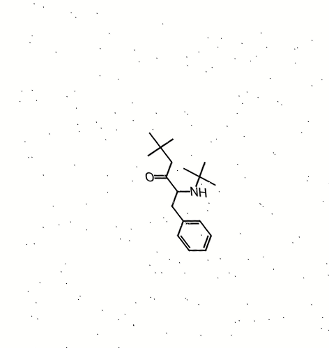 CC(C)(C)CC(=O)C(Cc1ccccc1)NC(C)(C)C